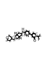 O=c1cc(-c2ccc(NC3C[C@@H]4CN(CC5CCOCC5)C[C@@H]4C3)nn2)ccn1C(F)F